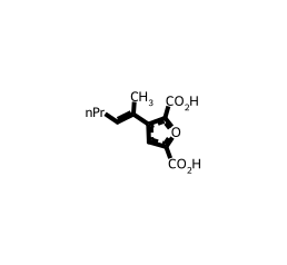 CCCC=C(C)c1cc(C(=O)O)oc1C(=O)O